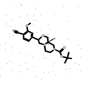 COc1cc(C2CN3CCN(C(=O)OC(C)(C)C)C[C@H]3CO2)ccc1C#N